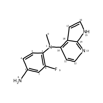 CN(c1ccc(N)cc1F)c1ccnc2[nH]ccc12